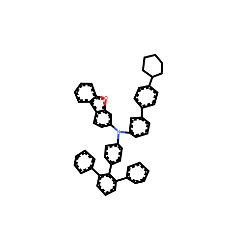 c1ccc(-c2cccc(-c3ccccc3)c2-c2ccc(N(c3cccc(-c4ccc(C5CCCCC5)cc4)c3)c3ccc4c(c3)oc3ccccc34)cc2)cc1